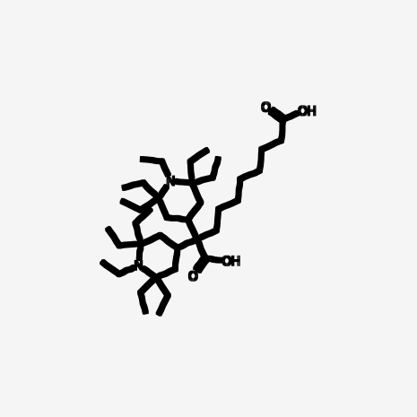 CCN1C(CC)(CC)CC(C(CCCCCCCC(=O)O)(C(=O)O)C2CC(CC)(CC)N(CC)C(CC)(CC)C2)CC1(CC)CC